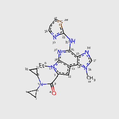 CCn1c(C(=O)N(C2CC2)C2CC2)cc2c3c(ncn3C)c(Nc3nccs3)nc21